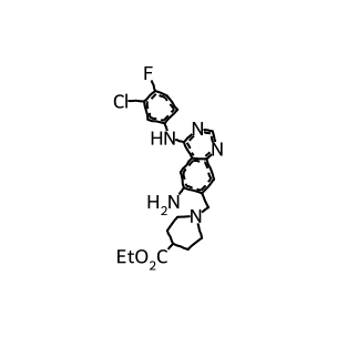 CCOC(=O)C1CCN(Cc2cc3ncnc(Nc4ccc(F)c(Cl)c4)c3cc2N)CC1